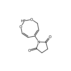 O=C1CCC(=O)N1C1=C/COPO/C=C\1